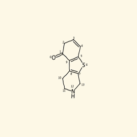 O=C1CC=Cc2sc3c(c21)CCNC3